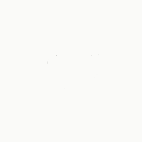 CCCCCCCCCCCCN.O=C(O)c1ccccc1